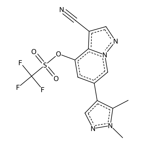 Cc1c(-c2cc(OS(=O)(=O)C(F)(F)F)c3c(C#N)cnn3c2)cnn1C